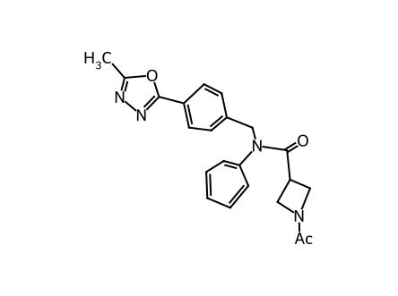 CC(=O)N1CC(C(=O)N(Cc2ccc(-c3nnc(C)o3)cc2)c2ccccc2)C1